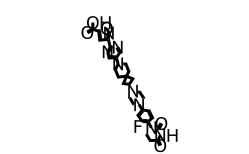 O=C1CCN(c2ccc(N3CCN(C4CC5(CCN(c6cnc(-c7cc(C(=O)O)on7)nc6)CC5)C4)CC3)cc2F)C(=O)N1